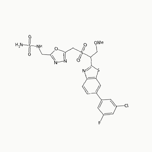 COCC(c1nc2ccc(-c3cc(F)cc(Cl)c3)cc2s1)S(=O)(=O)Cc1nnc(CNS(N)(=O)=O)o1